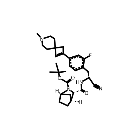 CN1CCC2(C=C(c3ccc(C[C@@H](C#N)NC(=O)[C@@H]4[C@H]5CC[C@H](C5)N4C(=O)OC(C)(C)C)c(F)c3)C2)CC1